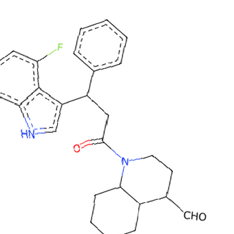 O=CC1CCN(C(=O)CC(c2ccccc2)c2c[nH]c3cccc(F)c23)C2CCCCC12